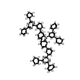 c1ccc(-c2cc(-c3ccccc3)cc(-n3c4cc(-c5cccc(-c6nc(-c7ccccc7)nc(-c7ccccc7)n6)c5)ccc4c4ccc(-c5cccc(-c6nc(-c7ccccc7)nc(-c7ccccc7)n6)c5)cc43)c2)cc1